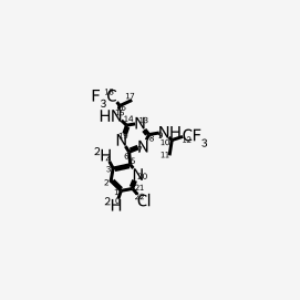 [2H]c1cc([2H])c(-c2nc(NC(C)C(F)(F)F)nc(NC(C)C(F)(F)F)n2)nc1Cl